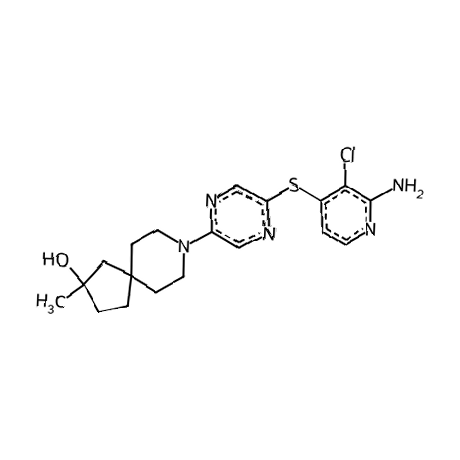 CC1(O)CCC2(CCN(c3cnc(Sc4ccnc(N)c4Cl)cn3)CC2)C1